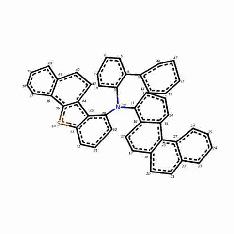 c1ccc(-c2ccccc2N(c2cccc3c2ccc2ccc4ccccc4c23)c2cccc3sc4c5ccccc5ccc4c23)cc1